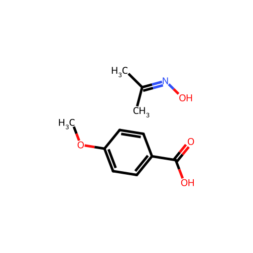 CC(C)=NO.COc1ccc(C(=O)O)cc1